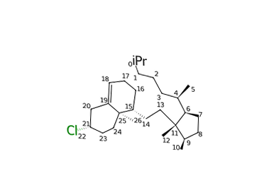 CC(C)CCC[C@@H](C)[C@H]1CC[C@@H](C)[C@]1(C)CC[C@H]1CCC=C2C[C@@H](Cl)CC[C@@]21C